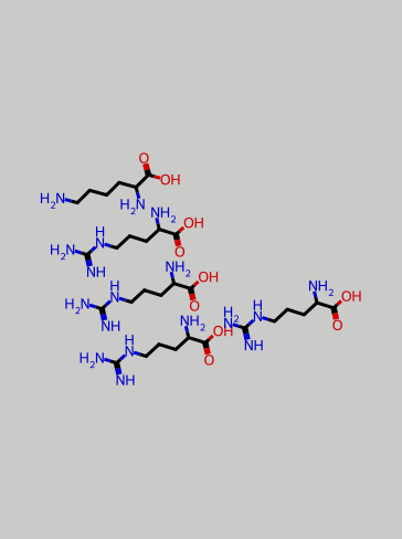 N=C(N)NCCCC(N)C(=O)O.N=C(N)NCCCC(N)C(=O)O.N=C(N)NCCCC(N)C(=O)O.N=C(N)NCCCC(N)C(=O)O.NCCCCC(N)C(=O)O